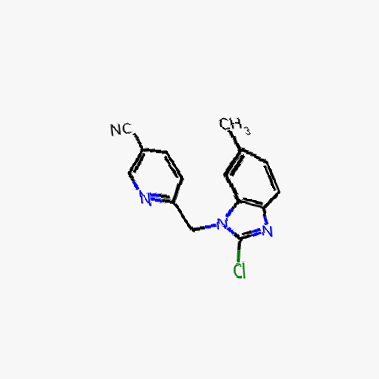 Cc1ccc2nc(Cl)n(Cc3ccc(C#N)cn3)c2c1